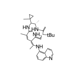 C=C(CC(C)(C)C)N[C@@H](C)C(NC(=C)/C(C)=C\C(C(=C)N)=C(/C)Nc1cccc2ncccc12)C1(C)CC1